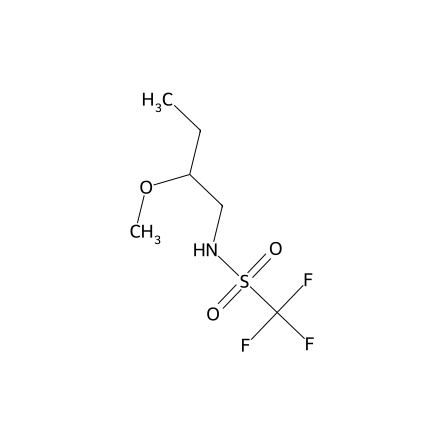 CCC(CNS(=O)(=O)C(F)(F)F)OC